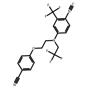 [C-]#[N+]c1ccc(N(CCOc2ccc(C#N)cc2)CC(F)(F)F)cc1C(F)(F)F